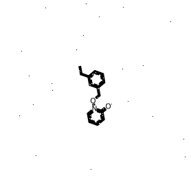 CCc1cccc(COn2ccccc2=O)c1